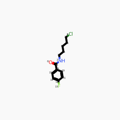 O=C(NCCCCCCl)c1ccc(F)cc1